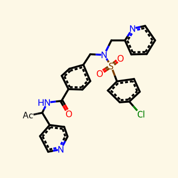 CC(=O)C(NC(=O)c1ccc(CN(Cc2ccccn2)S(=O)(=O)c2ccc(Cl)cc2)cc1)c1ccncc1